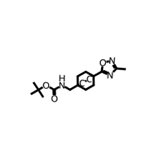 Cc1noc(C23CCC(CNC(=O)OC(C)(C)C)(CC2)CC3)n1